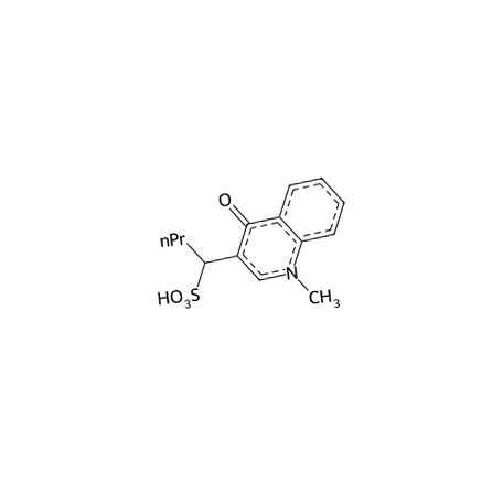 CCCC(c1cn(C)c2ccccc2c1=O)S(=O)(=O)O